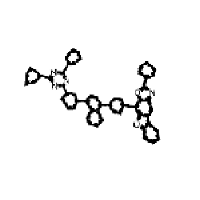 c1ccc(-c2nc(-c3ccccc3)nc(-c3cccc(-c4ccc(-c5ccc(-c6c7oc(-c8ccccc8)nc7cc7c6oc6ccccc67)cc5)c5ccccc45)c3)n2)cc1